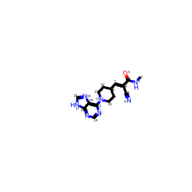 CNC(=O)/C(C#N)=C/C1CCN(c2ncnc3[nH]cnc23)CC1